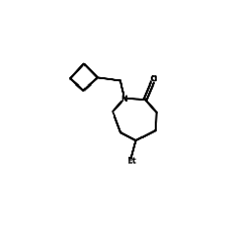 CCC1CCC(=O)N(CC2CCC2)CC1